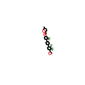 CC1CCC(COc2ccc(-c3ccc(-c4ccc(C5CO5)c(F)c4F)cc3)c(F)c2)OC1